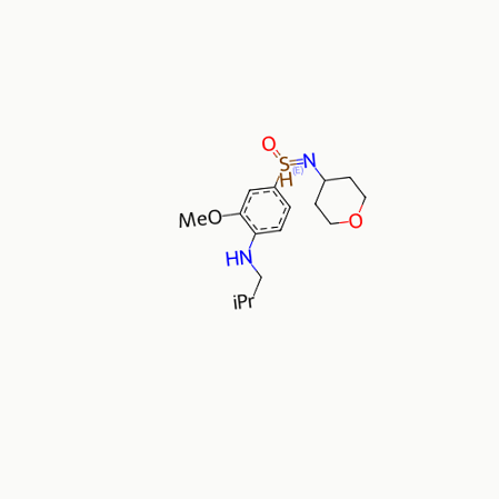 COc1cc(/[SH](=O)=N\C2CCOCC2)ccc1NCC(C)C